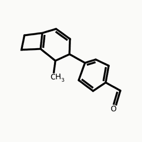 CC1C2=C(C=CC1c1ccc(C=O)cc1)CC2